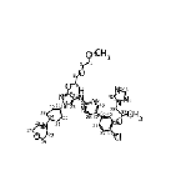 COCCOCCOc1nn(C2CCC(N3CCOCC3)CC2)cc1Nc1ncc(-c2ccc(Cl)c(OC(C)Cn3cncn3)c2)cn1